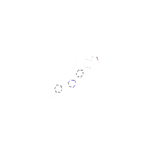 CCc1ccc(Oc2ccnc(-c3cc(F)c(N4CCC(CC(=O)O)CC4)c(F)c3)n2)cc1